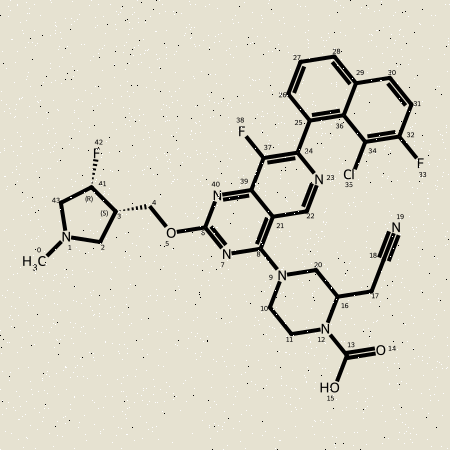 CN1C[C@@H](COc2nc(N3CCN(C(=O)O)C(CC#N)C3)c3cnc(-c4cccc5ccc(F)c(Cl)c45)c(F)c3n2)[C@@H](F)C1